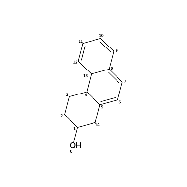 OC1CCC2C(=CC=C3C=CC=CC32)C1